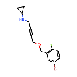 Fc1ccc(Br)cc1COCC#CCNC1CC1